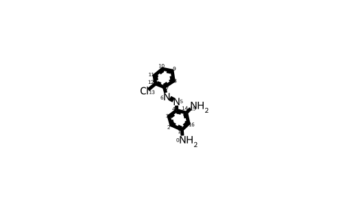 Nc1ccc(/N=N/c2ccccc2Cl)c(N)c1